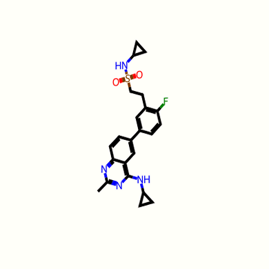 Cc1nc(NC2CC2)c2cc(-c3ccc(F)c(CCS(=O)(=O)NC4CC4)c3)ccc2n1